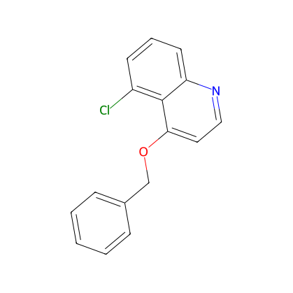 Clc1cccc2nccc(OCc3ccccc3)c12